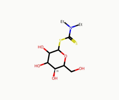 CCN(CC)C(=S)SC1OC(CO)[C@@H](O)C(O)C1O